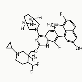 C#Cc1c(F)ccc2cc(O)cc(-c3c(F)cc4c(N5C[C@H]6CC[C@@H](C5)N6)nc(OCC5(C)CN(C6CC6)CCC5C(F)F)nc4c3F)c12